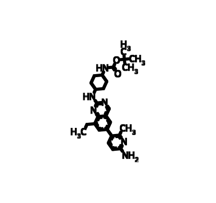 CCc1cc(-c2ccc(N)nc2C)cc2cnc(NC3CCC(NC(=O)OC(C)(C)C)CC3)nc12